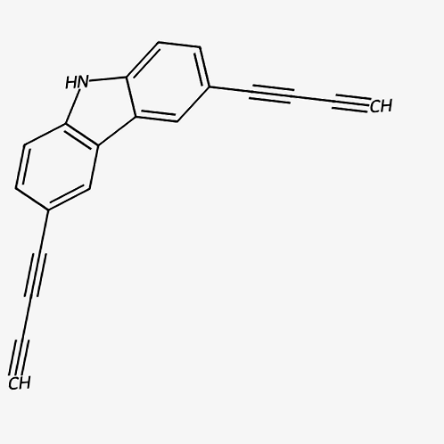 C#CC#Cc1ccc2[nH]c3ccc(C#CC#C)cc3c2c1